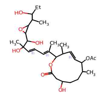 CCC(O)C(C)C1OC1C(O)C(C)(O)/C=C/C=C(\C)C1OC(=O)CC(O)CCC(C)C(OC(C)=O)/C=C/C1C